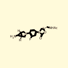 CC(=O)NC[C@H]1CN(c2ccc(N3C[C@@H]4C(N)[C@@H]4C3)c(F)c2)C(=O)O1